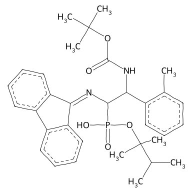 Cc1ccccc1C(NC(=O)OC(C)(C)C)C(N=C1c2ccccc2-c2ccccc21)P(=O)(O)OC(C)(C)C(C)C